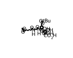 C=CS(=O)(=O)CCCCCC(=O)NCCC(=O)Nc1cc(COC(=O)C(C)(C)C)ccc1O[C@@H]1O[C@H](C(=O)O)[C@@H](O)[C@H](O)[C@H]1O